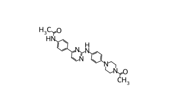 CC(=O)Nc1ccc(-c2ccnc(Nc3ccc(N4CCN(C(C)=O)CC4)cc3)n2)cc1